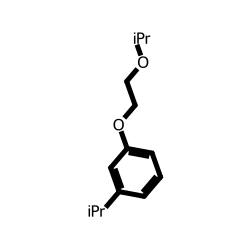 CC(C)OCCOc1cccc(C(C)C)c1